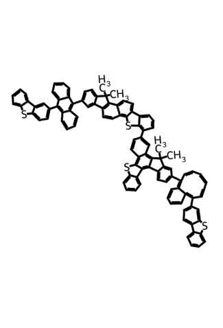 CC1(C)c2ccc(-c3c4ccccc4c(-c4ccc5sc6ccccc6c5c4)c4ccccc34)cc2-c2ccc3c(ccc4c5cccc(-c6ccc7c(c6)c6c(c8c9ccccc9sc78)-c7ccc(-c8ccccccc(-c9ccc%10c(c9)sc9ccccc9%10)c9ccccc89)cc7C6(C)C)c5sc34)c21